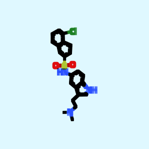 CN(C)CCc1c[nH]c2ccc(NS(=O)(=O)c3ccc4c(Cl)cccc4c3)cc12